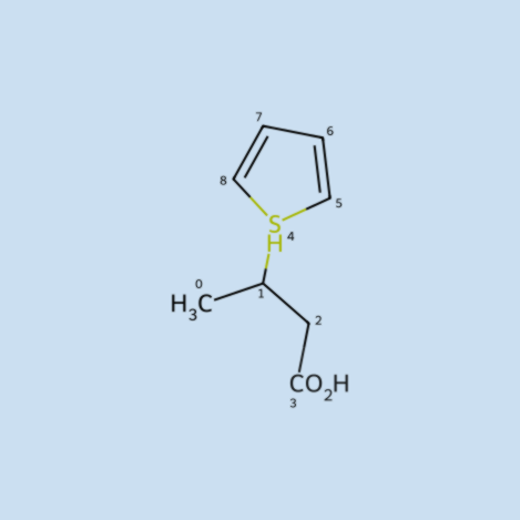 CC(CC(=O)O)[SH]1C=CC=C1